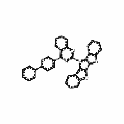 c1ccc(-c2ccc(-c3nc(-n4c5c6ccccc6oc5c5oc6ccccc6c54)nc4ccccc34)cc2)cc1